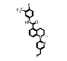 C[C@H]1CCc2c(C(=O)Nc3ccc(F)c(C(F)(F)F)c3)cccc2N1c1ccc(CI)cn1